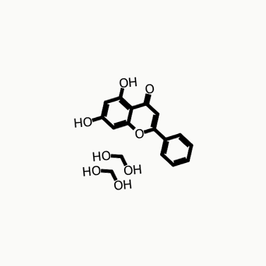 O=c1cc(-c2ccccc2)oc2cc(O)cc(O)c12.OCO.OCO